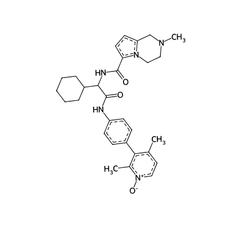 Cc1cc[n+]([O-])c(C)c1-c1ccc(NC(=O)C(NC(=O)c2ccc3n2CCN(C)C3)C2CCCCC2)cc1